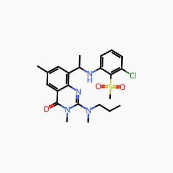 CCCN(C)c1nc2c(C(C)Nc3cccc(Cl)c3S(C)(=O)=O)cc(C)cc2c(=O)n1C